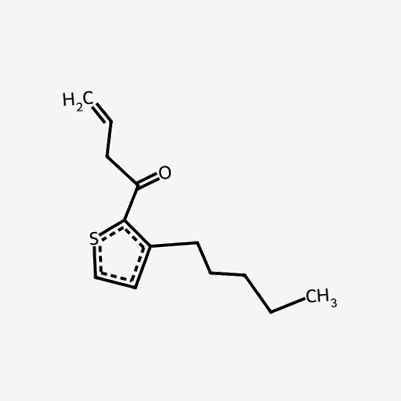 C=CCC(=O)c1sccc1CCCCC